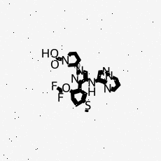 CSc1ccc(OC(F)F)c(-c2nn([C@H]3CCCN(C(=O)O)C3)cc2Nc2cnn3cccnc23)c1